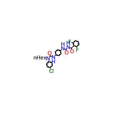 CCCCCCN(C(=O)Nc1ccc(NC(=O)NC(=O)c2c(F)cccc2F)cc1)c1ccc(Cl)cc1